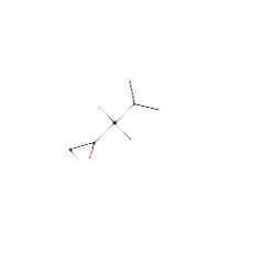 CC(C)C(C)(C)C1CO1